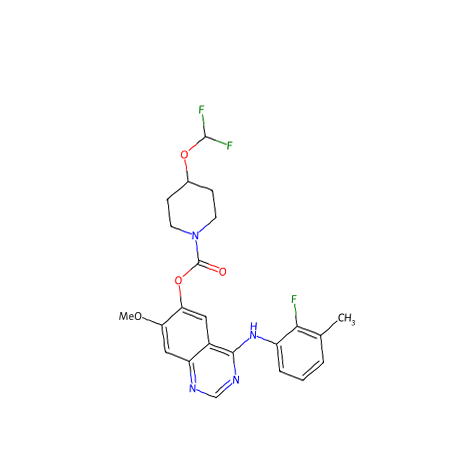 COc1cc2ncnc(Nc3cccc(C)c3F)c2cc1OC(=O)N1CCC(OC(F)F)CC1